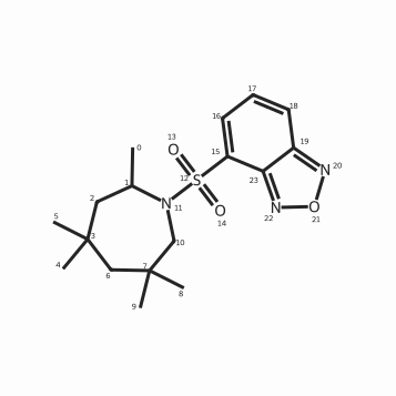 CC1CC(C)(C)CC(C)(C)CN1S(=O)(=O)c1cccc2nonc12